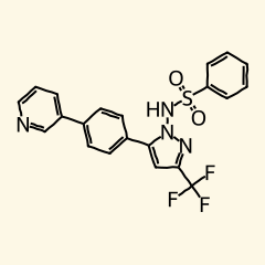 O=S(=O)(Nn1nc(C(F)(F)F)cc1-c1ccc(-c2cccnc2)cc1)c1ccccc1